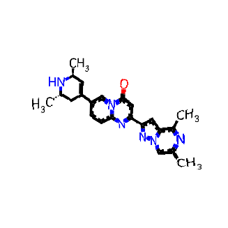 Cc1cn2nc(-c3cc(=O)n4cc(C5=C[C@H](C)N[C@@H](C)C5)ccc4n3)cc2c(C)n1